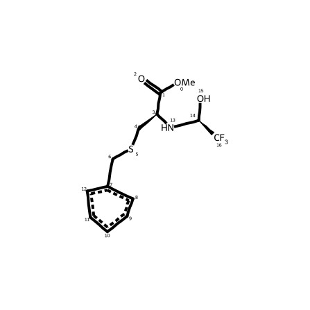 COC(=O)[C@H](CSCc1ccccc1)N[C@@H](O)C(F)(F)F